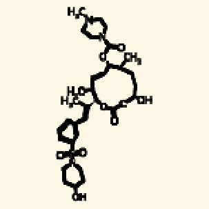 C/C(=C\c1cccc(S(=O)(=O)N2CCC(O)CC2)c1)[C@H]1OC(=O)C[C@H](O)CC[C@H](C)[C@@H](OC(=O)N2CCN(C)CC2)/C=C/[C@@H]1C